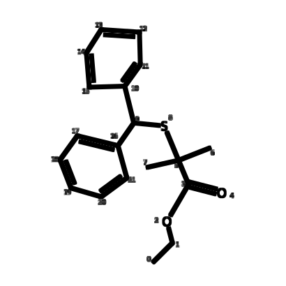 CCOC(=O)C(C)(C)SC(c1ccccc1)c1ccccc1